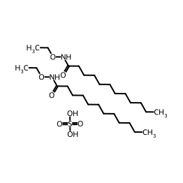 CCCCCCCCCCCC(=O)NOCC.CCCCCCCCCCCC(=O)NOCC.O=S(=O)(O)O